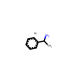 CC(N)c1ccccc1.[Pt]